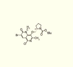 Cc1nc(Cl)c2cc(Br)c(=O)n(C)c2c1OC[C@@H]1CCCN1C(=O)OC(C)(C)C